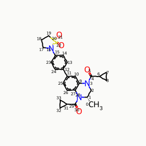 C[C@H]1CN(C(=O)C2CC2)c2cc(-c3ccc(N4CCCS4(=O)=O)cc3)ccc2N1C(=O)C1CC1